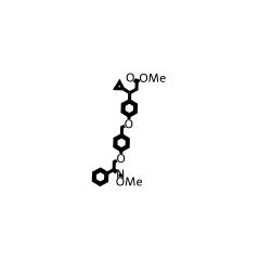 CON=C(COc1ccc(COc2ccc(C(CC(=O)OC)C3CC3)cc2)cc1)c1ccccc1